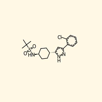 CC(C)(C)S(=O)(=O)N[C@H]1CC[C@H](c2cc(-c3ccccc3Cl)n[nH]2)CC1